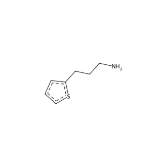 NCCCc1cccs1